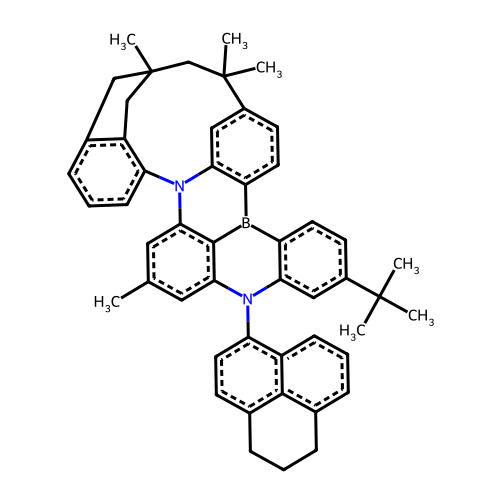 Cc1cc2c3c(c1)N(c1ccc4c5c(cccc15)CCC4)c1cc(C(C)(C)C)ccc1B3c1ccc3cc1N2c1cccc2c1CC(C)(C2)CC3(C)C